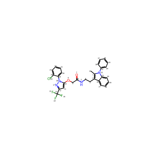 Cc1c(CCNC(=O)COc2cc(C(F)(F)F)nn2-c2ccccc2Cl)c2ccccc2n1-c1ccccc1